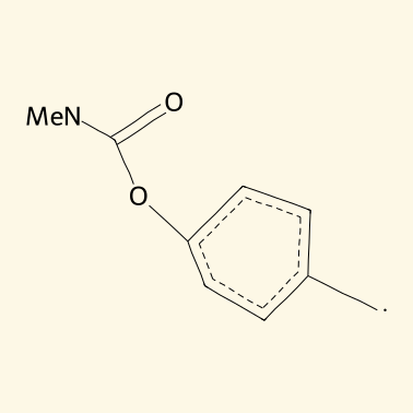 [CH2]c1ccc(OC(=O)NC)cc1